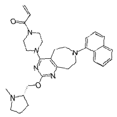 C=CC(=O)N1CCN(c2nc(OC[C@@H]3CCCN3C)nc3c2CCN(c2cccc4ccccc24)CC3)CC1